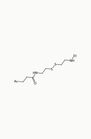 CCNCCSSCCNC(=O)CCC(C)=O